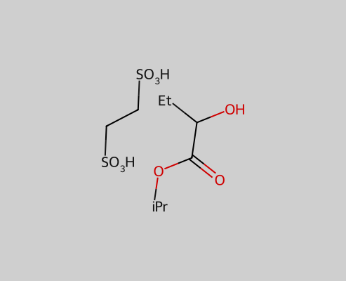 CCC(O)C(=O)OC(C)C.O=S(=O)(O)CCS(=O)(=O)O